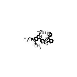 CCOc1cc2cc(CO)nc(-c3ccnc(-n4nc(-c5cccnc5)c5ccccc5c4=O)c3)c2cc1OCC.Cl